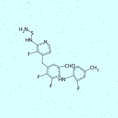 Cc1ccc(Nc2c(C=O)cc(Cc3ccnc(NSN)c3F)c(F)c2F)c(F)c1